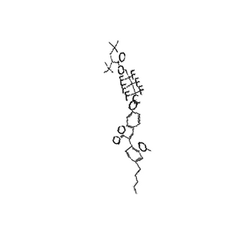 CCCCCc1ccc(-c2cc3ccc(OCC(F)(F)C(F)(F)C(F)(F)COC(=O)C(CC(C)(C)C)C(C)(C)C)cc3oc2=O)c(OC)c1